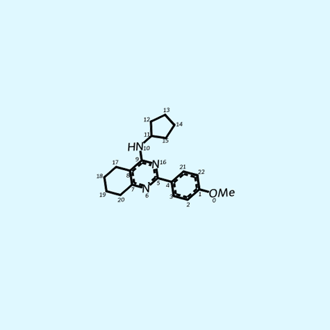 COc1ccc(-c2nc3c(c(NC4CCCC4)n2)CCCC3)cc1